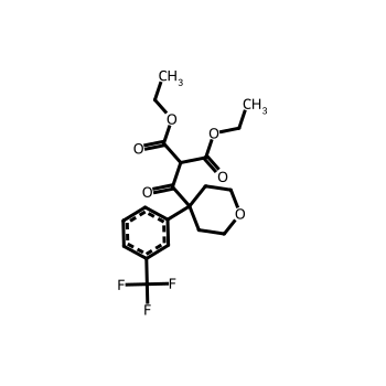 CCOC(=O)C(C(=O)OCC)C(=O)C1(c2cccc(C(F)(F)F)c2)CCOCC1